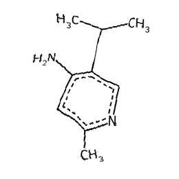 Cc1cc(N)c(C(C)C)cn1